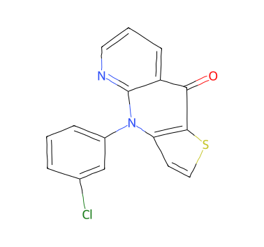 O=c1c2cccnc2n(-c2cccc(Cl)c2)c2ccsc12